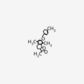 C=C1C(=O)OC2c3c(C)c(OCC4=CC=C(C)CC4)cc(C)c3CCC12